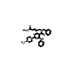 COC(=O)C/C=C/CN(Cc1ccccc1)C(=O)c1cnc(N2CCN(C)CC2)nc1Nc1ccccc1